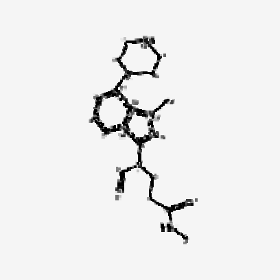 CNC(=O)CCN(C=O)c1nn(C)c2c(N3CCNCC3)cccc12